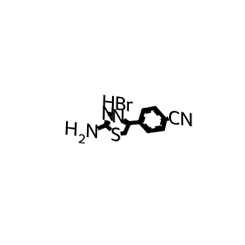 Br.N#Cc1ccc(C2=NN=C(N)SC2)cc1